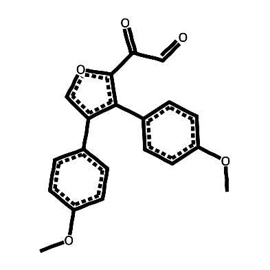 COc1ccc(-c2coc(C(=O)C=O)c2-c2ccc(OC)cc2)cc1